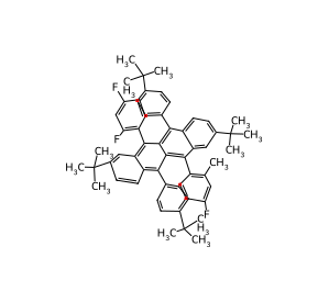 Cc1cc(F)ccc1-c1c2cc(C(C)(C)C)ccc2c(-c2ccc(C(C)(C)C)cc2)c2c(-c3ccc(F)cc3F)c3cc(C(C)(C)C)ccc3c(-c3ccc(C(C)(C)C)cc3)c12